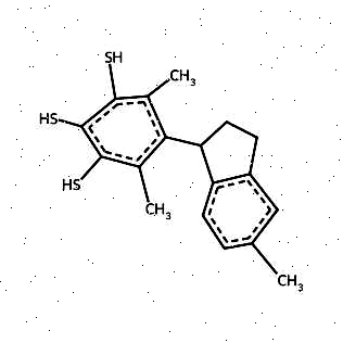 Cc1ccc2c(c1)CCC2c1c(C)c(S)c(S)c(S)c1C